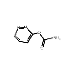 NC(=O)Oc1cccnn1